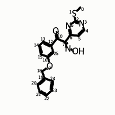 CSc1nccc(/C(=N\O)C(=O)c2cccc(OCc3ccccc3)c2)n1